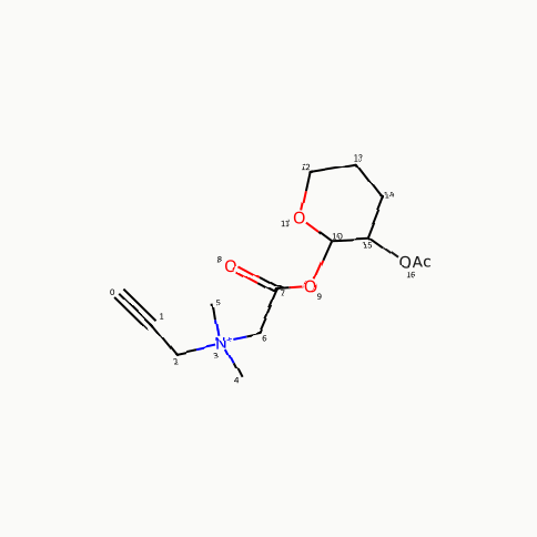 C#CC[N+](C)(C)CC(=O)OC1OCCCC1OC(C)=O